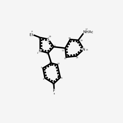 CCc1nc(-c2ccc(F)cc2)c(-c2ccnc(NC(C)=O)c2)s1